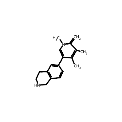 C=C1C(C)=C(C)C(c2ccc3c(c2)CCNC3)=CN1C